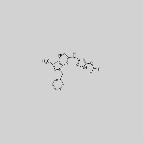 Cc1nn(Cc2cccnc2)c2nc(Nc3cc(OC(F)F)[nH]n3)cnc12